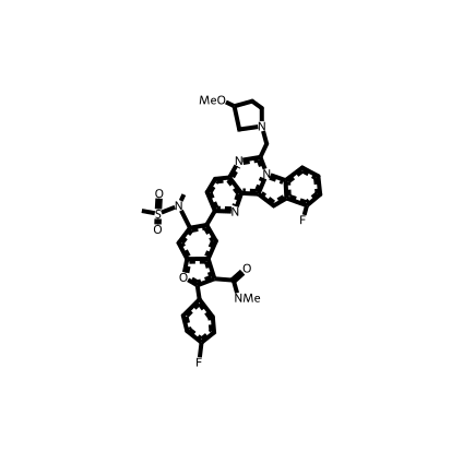 CNC(=O)c1c(-c2ccc(F)cc2)oc2cc(N(C)S(C)(=O)=O)c(-c3ccc4nc(CN5CCC(OC)C5)n5c6cccc(F)c6cc5c4n3)cc12